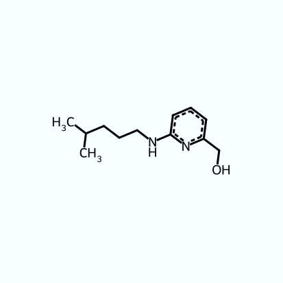 CC(C)CCCNc1cccc(CO)n1